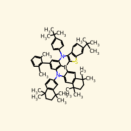 Cc1cccc(C)c1-c1cc2c3c(c1)N(c1ccc(C(C)(C)C)cc1)c1c(sc4cc(C(C)(C)C)ccc14)B3c1cc3c(cc1N2c1ccc2c(c1)C(C)(C)CCC2(C)C)C(C)(C)CCC3(C)C